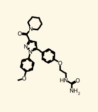 COc1ccc(-n2nc(C(=O)N3CCCCC3)cc2-c2ccc(OCCNC(N)=O)cc2)cc1